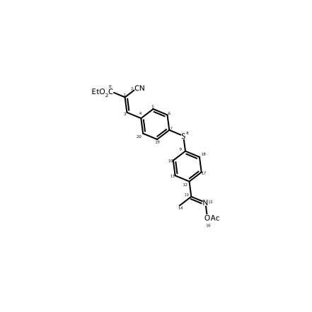 CCOC(=O)/C(C#N)=C/c1ccc(Sc2ccc(/C(C)=N/OC(C)=O)cc2)cc1